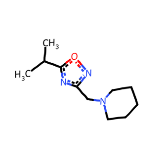 CC(C)c1nc(CN2CCCCC2)no1